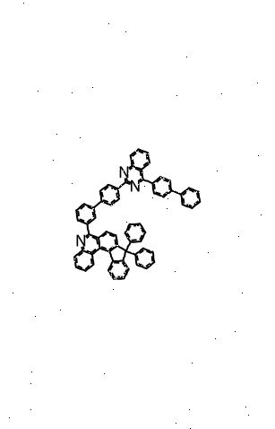 c1ccc(-c2ccc(-c3nc(-c4ccc(-c5cccc(-c6nc7ccccc7c7c8c(ccc67)C(c6ccccc6)(c6ccccc6)c6ccccc6-8)c5)cc4)nc4ccccc34)cc2)cc1